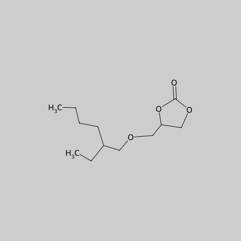 CCCCC(CC)COCC1COC(=O)O1